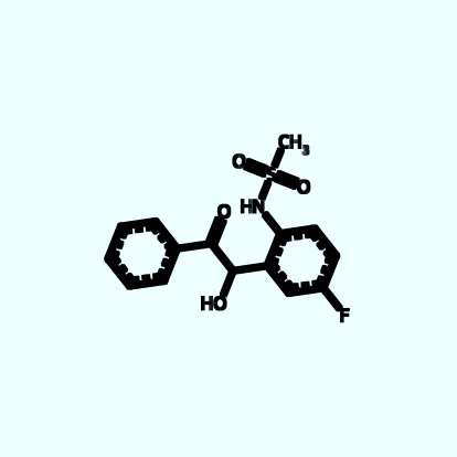 CS(=O)(=O)Nc1ccc(F)cc1C(O)C(=O)c1ccccc1